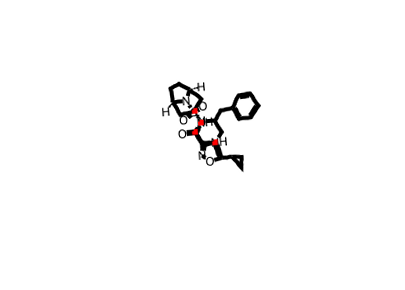 O=C(N[C@H]1C[C@H]2CC[C@@H](C1)N2S(=O)(=O)N1CCNCC1Cc1ccccc1)c1cc(C2CC2)on1